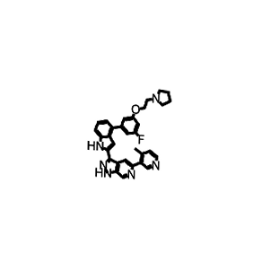 Cc1ccncc1-c1cc2c(-c3cc4c(-c5cc(F)cc(OCCN6CCCC6)c5)cccc4[nH]3)n[nH]c2cn1